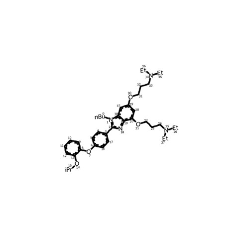 CCCCn1c(-c2ccc(Oc3ccccc3OC(C)C)cc2)nc2c(OCCCN(CC)CC)cc(OCCCN(CC)CC)cc21